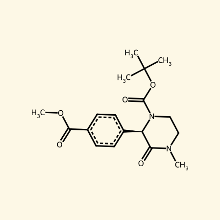 COC(=O)c1ccc([C@@H]2C(=O)N(C)CCN2C(=O)OC(C)(C)C)cc1